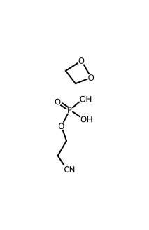 C1COO1.N#CCCOP(=O)(O)O